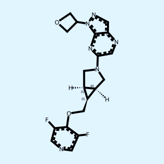 Fc1cncc(F)c1OC[C@H]1[C@H]2CN(c3cnc4cnn(C5COC5)c4n3)C[C@@H]12